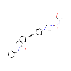 C[C@H](C=O)NS(=O)(=O)N1CCN(c2ccc(C#Cc3ccc4ccn(Cc5ccccc5)c(=O)c4c3)cc2)CC1